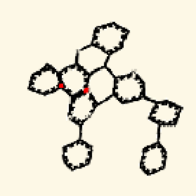 c1ccc(-c2cccc(-c3cnc(C4c5ccccc5Sc5ccccc54)c(-c4nc(-c5ccccc5)nc(-c5ccccc5)n4)c3)c2)cc1